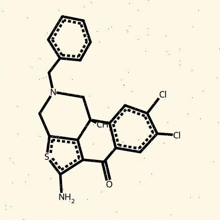 CC12CN(Cc3ccccc3)Cc3sc(N)c(c31)C(=O)c1cc(Cl)c(Cl)cc12